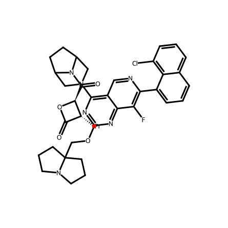 CC(C)[C@@H]1C(=O)O[C@H]1C(=O)N1C2CCC1CN(c1nc(OCC34CCCN3CCC4)nc3c(F)c(-c4cccc5cccc(Cl)c45)ncc13)C2